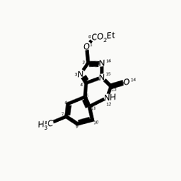 CCOC(=O)Oc1nc2c3cc(C)ccc3[nH]c(=O)n2n1